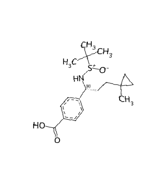 CC1(CC[C@@H](N[S+]([O-])C(C)(C)C)c2ccc(C(=O)O)cc2)CC1